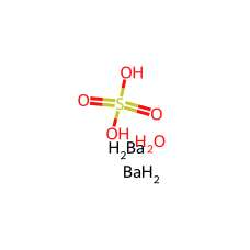 O.O=S(=O)(O)O.[BaH2].[BaH2]